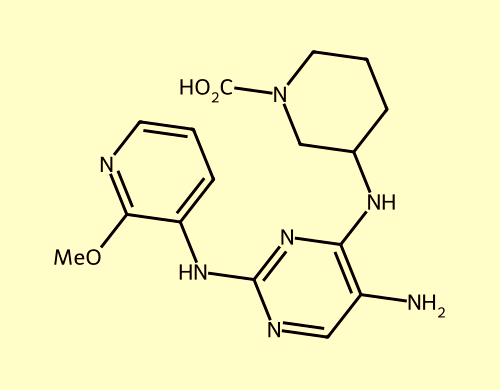 COc1ncccc1Nc1ncc(N)c(NC2CCCN(C(=O)O)C2)n1